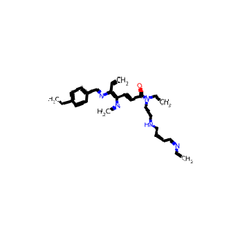 C=C/N=C\C=C/CNCCN(CC)C(=O)/C=C/C(N=C)=C(C=C)/N=C/c1ccc(CC)cc1